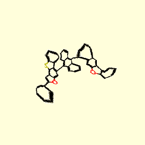 c1ccc(-c2cc3c(cc(-c4c5ccccc5c(-c5cccc6cc7c(cc56)oc5ccccc57)c5ccccc45)c4c5ccccc5sc34)o2)cc1